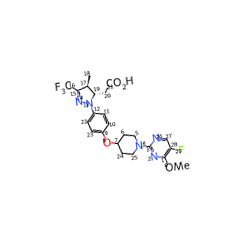 COc1nc(N2CCC(Oc3ccc(N4N=C(C(F)(F)F)[C@@H](C)[C@@H]4CC(=O)O)cc3)CC2)ncc1F